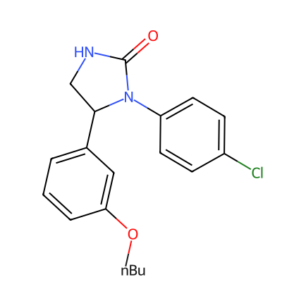 CCCCOc1cccc(C2CNC(=O)N2c2ccc(Cl)cc2)c1